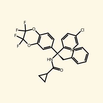 O=C(N[C@](Cc1ccccc1)(c1ccc2c(c1)OC(F)(F)C(F)(F)O2)c1ccc(Cl)cn1)C1CC1